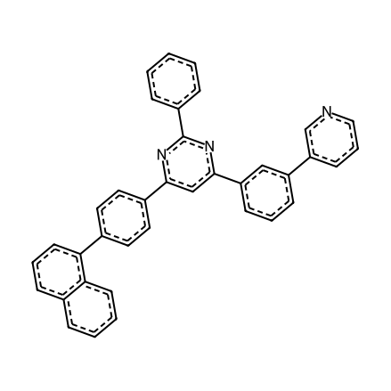 c1ccc(-c2nc(-c3ccc(-c4cccc5ccccc45)cc3)cc(-c3cccc(-c4cccnc4)c3)n2)cc1